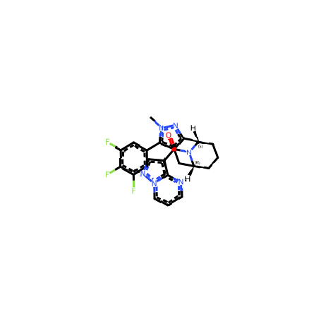 Cn1nc2c(c1-c1cc(F)c(F)c(F)c1)C[C@H]1CCC[C@@H]2N1C(=O)c1cnn2cccnc12